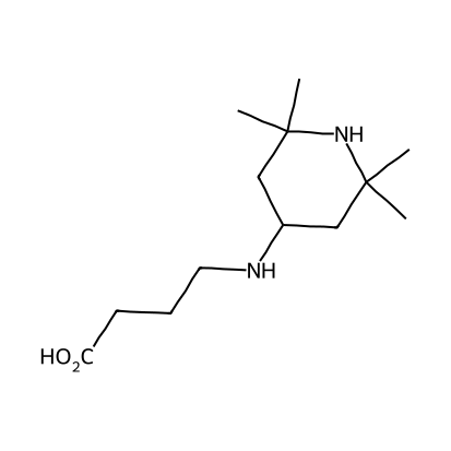 CC1(C)CC(NCCCC(=O)O)CC(C)(C)N1